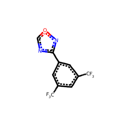 FC(F)(F)c1cc(-c2ncon2)cc(C(F)(F)F)c1